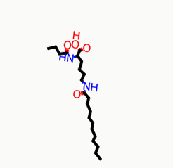 CCCCCCCCCCCC(=O)NCCCCC(NC(=O)CCC)C(=O)O